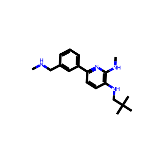 CNCc1cccc(-c2ccc(NCC(C)(C)C)c(NC)n2)c1